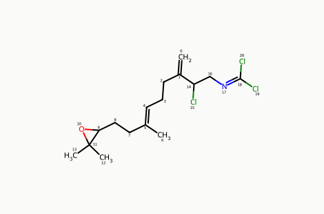 C=C(CCC=C(C)CCC1OC1(C)C)C(Cl)CN=C(Cl)Cl